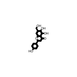 O=c1cc(-c2ccc(O)cc2)oc2cc(CO)c(O)c(O)c12